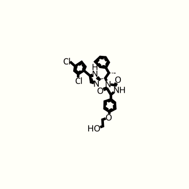 C[C@@H](c1ccccc1)[C@@H](c1ncc(-c2ccc(Cl)cc2Cl)[nH]1)N1C(=O)NC(c2ccc(OCCO)cc2)C1=O